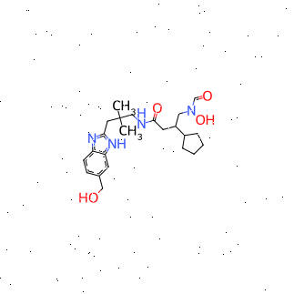 CC(C)(CNC(=O)CC(CN(O)C=O)C1CCCC1)Cc1nc2ccc(CO)cc2[nH]1